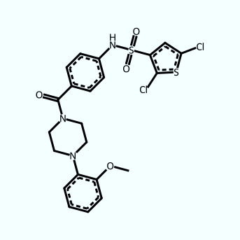 COc1ccccc1N1CCN(C(=O)c2ccc(NS(=O)(=O)c3cc(Cl)sc3Cl)cc2)CC1